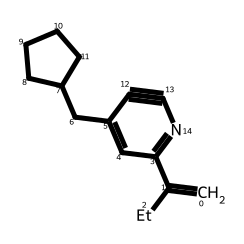 C=C(CC)c1cc(CC2CCCC2)c#cn1